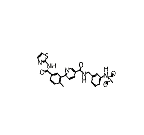 Cc1ccc(C(=O)Nc2nccs2)cc1-c1ccc(C(=O)NCc2cccc(NS(C)(=O)=O)c2)cn1